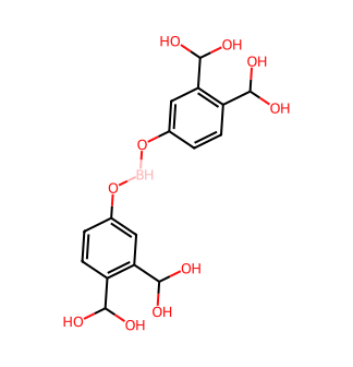 OC(O)c1ccc(OBOc2ccc(C(O)O)c(C(O)O)c2)cc1C(O)O